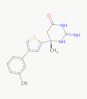 C[C@@]1(c2cc(-c3cccc(C#N)c3)cs2)CC(=O)NC(=N)N1